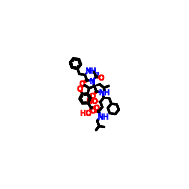 CC(=O)N(C(=O)[C@@H](N)Cc1ccccc1)[C@](CC(C)C)(C(=O)N[C@@H](CC1CCCCC1)[C@@H](O)CC(=O)NCC(C)C)C1COc2ccc(C(=O)O)cc21